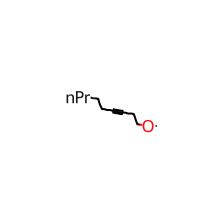 CCCCCC#CCC[O]